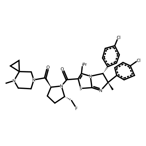 CC(C)C1=C(C(=O)N2[C@H](CF)CC[C@H]2C(=O)N2CCN(C)C3(CC3)C2)SC2=N[C@@](C)(c3ccc(Cl)cc3)[C@@H](c3ccc(Cl)cc3)N21